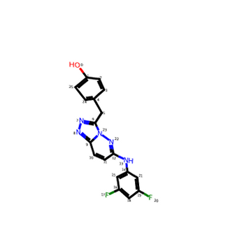 Oc1ccc(Cc2nnc3ccc(Nc4cc(F)cc(F)c4)nn23)cc1